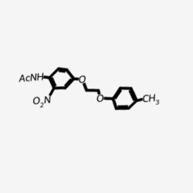 CC(=O)Nc1ccc(OCCOc2ccc(C)cc2)cc1[N+](=O)[O-]